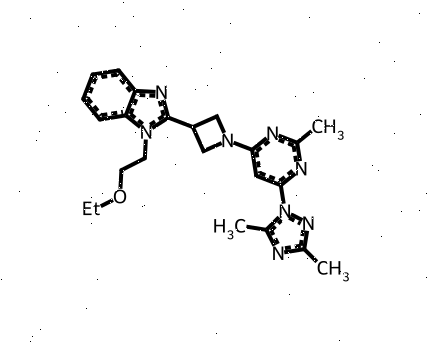 CCOCCn1c(C2CN(c3cc(-n4nc(C)nc4C)nc(C)n3)C2)nc2ccccc21